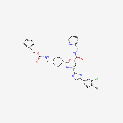 N#Cc1ccc(-c2cnc([C@H](CCC(=O)NCc3ccccn3)NC(=O)C3CCC(CNC(=O)OCc4ccccc4)CC3)[nH]2)cc1F